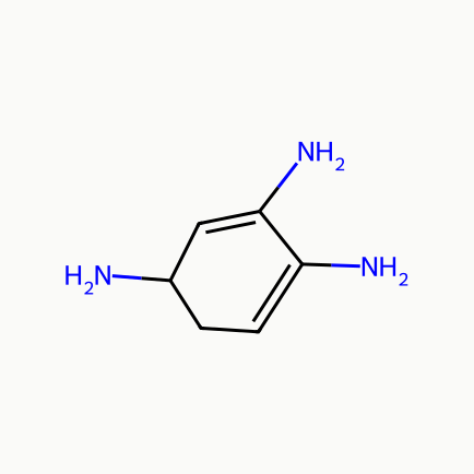 NC1=CCC(N)C=C1N